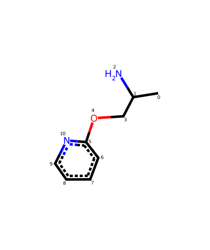 CC(N)COc1ccccn1